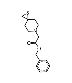 O=C(CN1CCC2(CC1)CS2)OCc1ccccc1